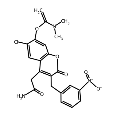 C=C(Oc1cc2oc(=O)c(Cc3cccc([N+](=O)[O-])c3)c(CC(N)=O)c2cc1Cl)N(C)C